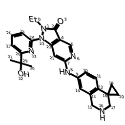 CCn1c(=O)c2cnc(Nc3ccc4c(c3)CNCC43CC3)cc2n1-c1cccc(C(C)(C)O)n1